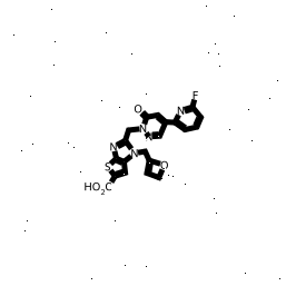 O=C(O)c1cc2c(nc(Cn3ncc(-c4cccc(F)n4)cc3=O)n2CC2=CCO2)s1